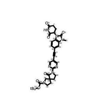 Cn1c(=O)n(C2CCC(=O)NC2=O)c2ccc(C#Cc3cnc(N4CCC5(CCN(C(=O)OC(C)(C)C)C5)C4=O)nc3)cc21